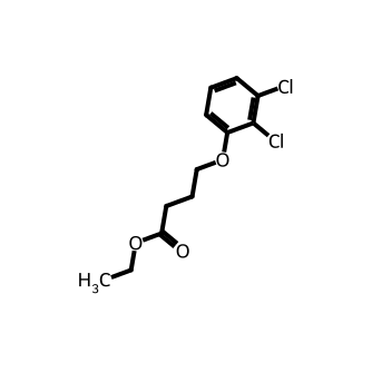 CCOC(=O)CCCOc1cccc(Cl)c1Cl